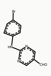 O=Cc1cnc(Nc2ccc(Br)cc2)nc1